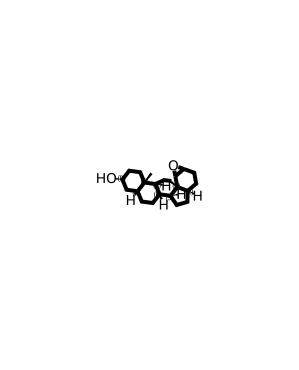 C[C@]12CC[C@@H](O)C[C@H]1CC[C@@H]1[C@@H]2CC[C@@]23C4OC4CC[C@H]2CC[C@@H]13